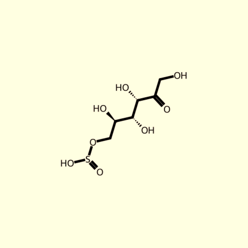 O=C(CO)[C@@H](O)[C@H](O)[C@H](O)COS(=O)O